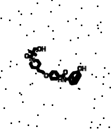 CC(C)(CO)C(=O)N1CCC(CCOc2ccc(C(=O)NC3C4CC5CC3CC(O)(C5)C4)cc2)CC1